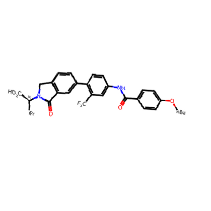 CCCCOc1ccc(C(=O)Nc2ccc(-c3ccc4c(c3)C(=O)N([C@H](C(=O)O)C(C)C)C4)c(C(F)(F)F)c2)cc1